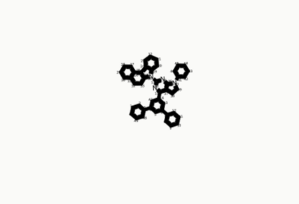 c1ccc(-c2cc(-c3ccccc3)cc(-c3nc(-n4c5ccccc5c5c6ccccc6ccc54)nc4c3ccn4-c3ccccc3)c2)cc1